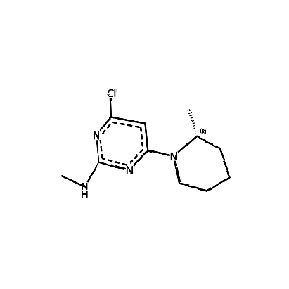 CNc1nc(Cl)cc(N2CCCC[C@H]2C)n1